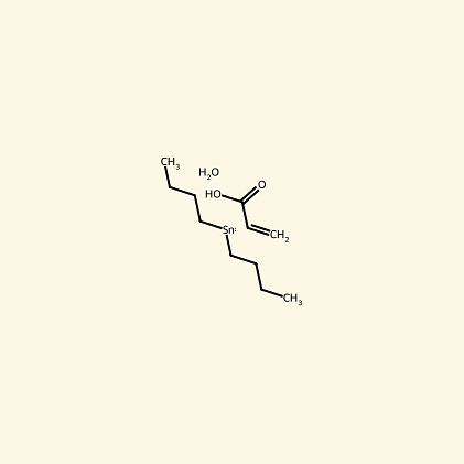 C=CC(=O)O.CCC[CH2][Sn][CH2]CCC.O